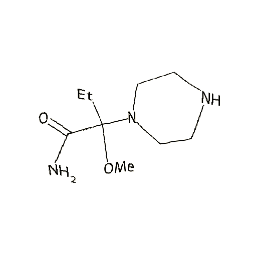 CCC(OC)(C(N)=O)N1CCNCC1